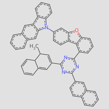 CC1C=C(c2nc(-c3ccc4ccccc4c3)nc(-c3cccc4oc5cc(-n6c7ccccc7c7cc8ccccc8cc76)ccc5c34)n2)C=C2C=CC=CC21